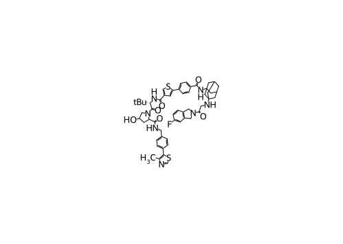 Cc1ncsc1-c1ccc(CNC(=O)C2CC(O)CN2C(=O)[C@@H](NC(=O)c2csc(-c3ccc(C(=O)NC45CC6CC(CC(NCC(=O)N7Cc8ccc(F)cc8C7)(C6)C4)C5)cc3)c2)C(C)(C)C)cc1